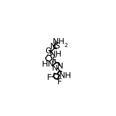 Nc1nc(C(=O)N[C@@H]2CCC[C@H](Nc3nc(-c4c[nH]c5c(F)cc(F)cc45)ncc3F)C2)cs1